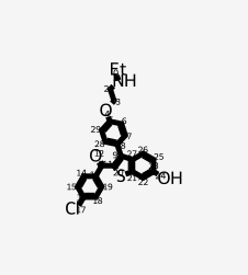 CCNCCOc1ccc(-c2c(C(=O)c3ccc(Cl)cc3)sc3cc(O)ccc23)cc1